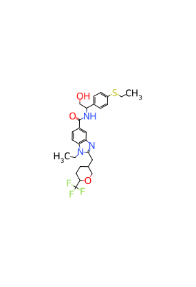 CCSc1ccc(C(CO)NC(=O)c2ccc3c(c2)nc(CC2CCC(C(F)(F)F)OC2)n3CC)cc1